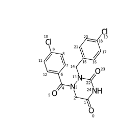 O=C1CN(C(=O)c2ccc(Cl)cc2)N(Cc2ccc(Cl)cc2)C(=O)N1